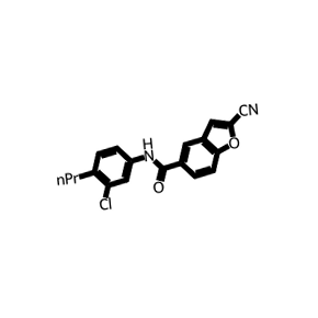 CCCc1ccc(NC(=O)c2ccc3oc(C#N)cc3c2)cc1Cl